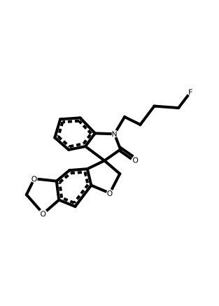 O=C1N(CCCCF)c2ccccc2C12COc1cc3c(cc12)OCO3